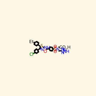 CCc1ccc(-c2sc(NC(=O)c3ccc(S(=O)(=O)N(CC(=O)O)Cc4nn[nH]n4)cc3)nc2-c2ccc(Cl)cc2)cc1